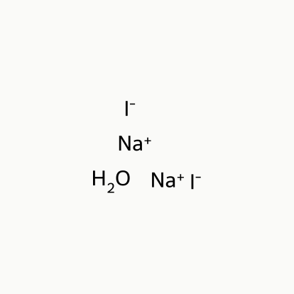 O.[I-].[I-].[Na+].[Na+]